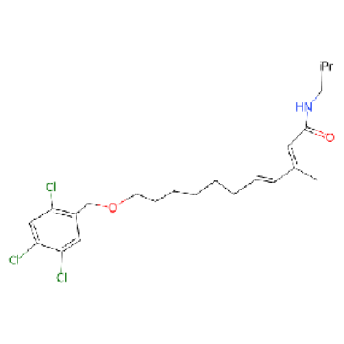 CC(C=CCCCCCCOCc1cc(Cl)c(Cl)cc1Cl)=CC(=O)NCC(C)C